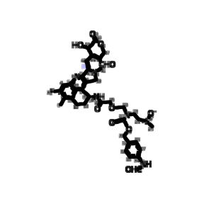 Cc1c(F)cc2nc3c(c4c2c1CC[C@@H]4NC(=O)COCN(CC[S+](C)[O-])C(=O)OCc1ccc(NC=O)cc1)CN(C)/C3=C\C1=C(C=O)COC(=O)C1O